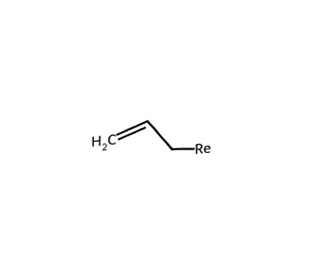 C=C[CH2][Re]